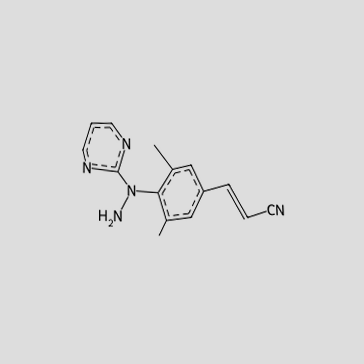 Cc1cc(C=CC#N)cc(C)c1N(N)c1ncccn1